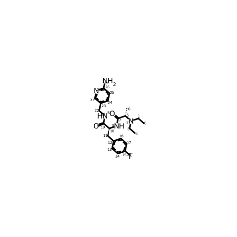 CCN(CC)[C@@H](C)C(=O)N[C@@H](Cc1ccc(F)cc1)C(=O)NCc1ccc(N)nc1